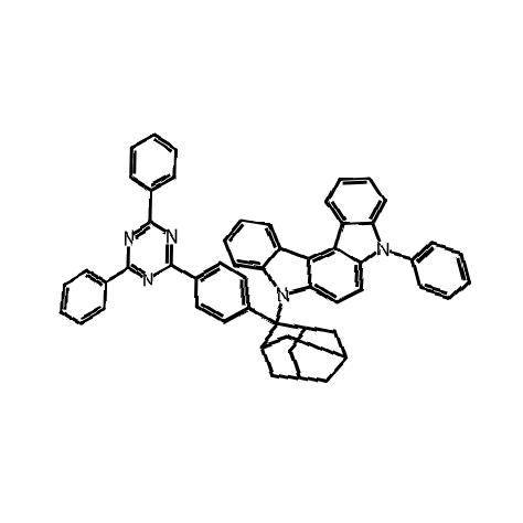 c1ccc(-c2nc(-c3ccccc3)nc(-c3ccc(C4(n5c6ccccc6c6c7c8ccccc8n(-c8ccccc8)c7ccc65)C5CC6CC(C5)CC4C6)cc3)n2)cc1